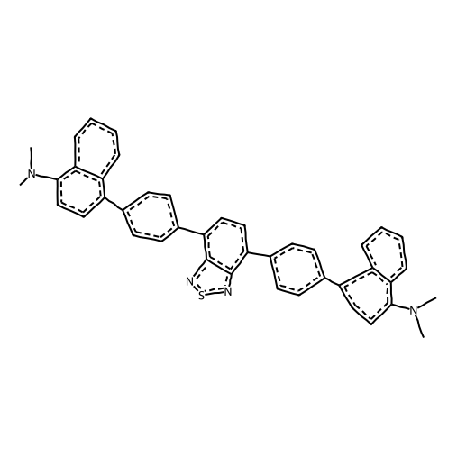 CN(C)c1ccc(-c2ccc(-c3ccc(-c4ccc(-c5ccc(N(C)C)c6ccccc56)cc4)c4nsnc34)cc2)c2ccccc12